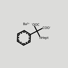 CCCCCCCC(C(=O)[O-])(C(=O)[O-])c1ccccc1.[Ba+2]